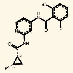 O=C(Nc1ccnc(NC(=O)[C@@H]2C[C@@H]2F)c1)c1c(F)cccc1Br